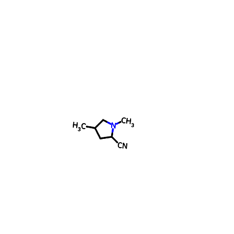 CC1CC(C#N)N(C)C1